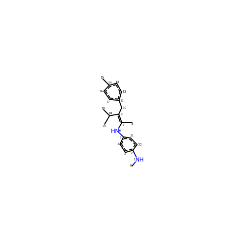 CNc1ccc(N/C(C)=C(/Cc2ccc(C)cc2)C(C)C)cc1